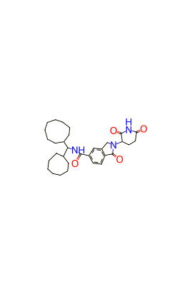 O=C1CCC(N2Cc3cc(C(=O)NC(C4CCCCCCCC4)C4CCCCCCC4)ccc3C2=O)C(=O)N1